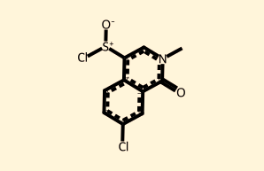 Cn1cc([S+]([O-])Cl)c2ccc(Cl)cc2c1=O